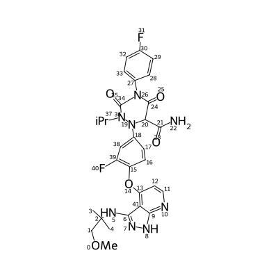 COCC(C)(C)Nc1n[nH]c2nccc(Oc3ccc(N4C(C(N)=O)C(=O)N(c5ccc(F)cc5)C(=O)N4C(C)C)cc3F)c12